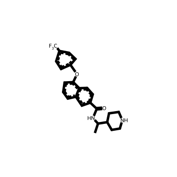 CC(NC(=O)c1ccc2c(Oc3ccc(C(F)(F)F)cc3)cccc2c1)C1CCNCC1